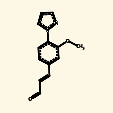 COc1cc(/C=C/C=O)ccc1-n1cccn1